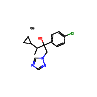 CC(C1CC1)C(O)(Cn1cncn1)c1ccc(Cl)cc1.[Cu]